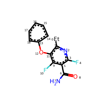 CCc1nc(F)c(C(N)=O)c(F)c1Oc1ccccc1